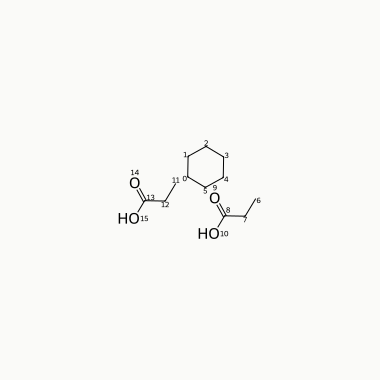 C1CCCCC1.CCC(=O)O.CCC(=O)O